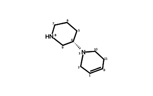 C1=CCN([C@H]2CCCNC2)CC1